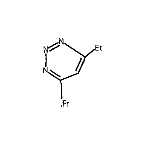 CCc1cc(C(C)C)nnn1